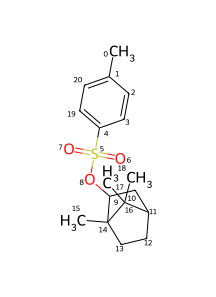 Cc1ccc(S(=O)(=O)OC2CC3CCC2(C)C3(C)C)cc1